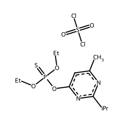 CCOP(=S)(OCC)Oc1cc(C)nc(C(C)C)n1.O=S(=O)(Cl)Cl